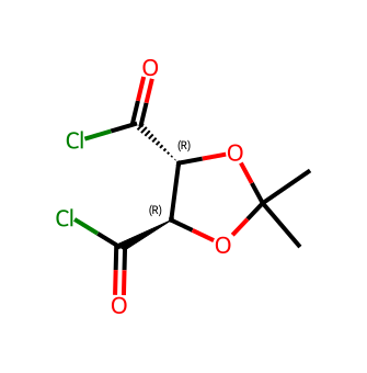 CC1(C)O[C@@H](C(=O)Cl)[C@H](C(=O)Cl)O1